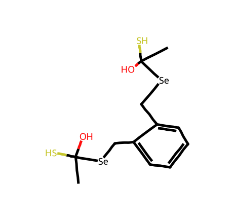 CC(O)(S)[Se]Cc1ccccc1C[Se]C(C)(O)S